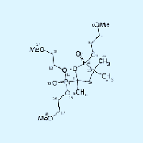 COCCOP1(=O)OC(C)(P(=O)(OCCOC)OCCOC)CC1(C)C